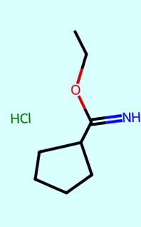 CCOC(=N)C1CCCC1.Cl